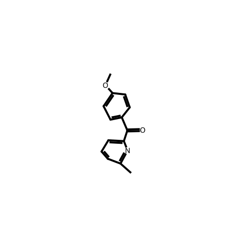 COc1ccc(C(=O)c2cccc(C)n2)cc1